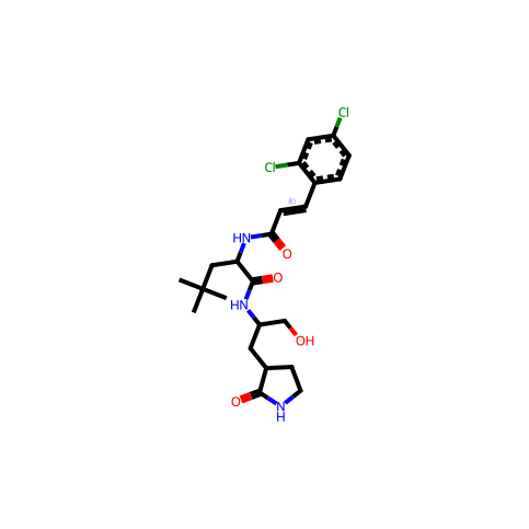 CC(C)(C)CC(NC(=O)/C=C/c1ccc(Cl)cc1Cl)C(=O)NC(CO)CC1CCNC1=O